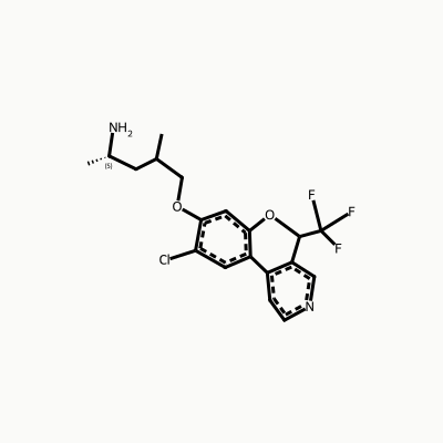 CC(COc1cc2c(cc1Cl)-c1ccncc1C(C(F)(F)F)O2)C[C@H](C)N